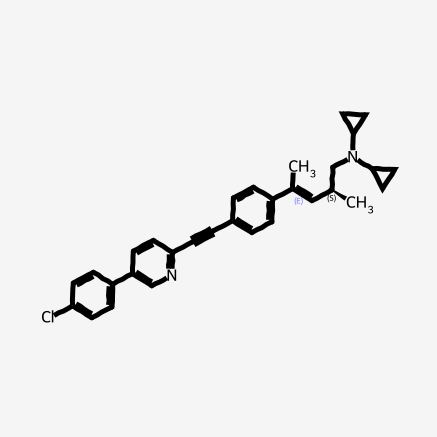 C/C(=C\[C@H](C)CN(C1CC1)C1CC1)c1ccc(C#Cc2ccc(-c3ccc(Cl)cc3)cn2)cc1